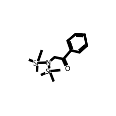 C[Si](C)(C)N(CC(=O)c1ccccc1)[Si](C)(C)C